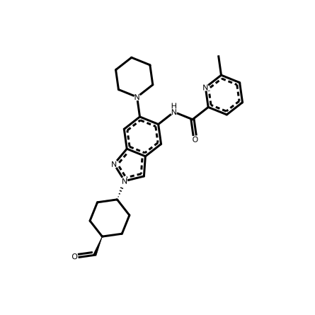 Cc1cccc(C(=O)Nc2cc3cn([C@H]4CC[C@H](C=O)CC4)nc3cc2N2CCCCC2)n1